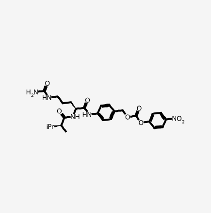 CC(C)[C@H](C)C(=O)N[C@@H](CCCNC(N)=O)C(=O)Nc1ccc(COC(=O)Oc2ccc([N+](=O)[O-])cc2)cc1